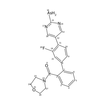 O=C(c1ccccc1-c1ccc(-c2cnc([AsH2])nc2)c(F)c1)N1CCOCC1